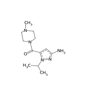 CC(C)n1nc(N)cc1C(=O)N1CCN(C)CC1